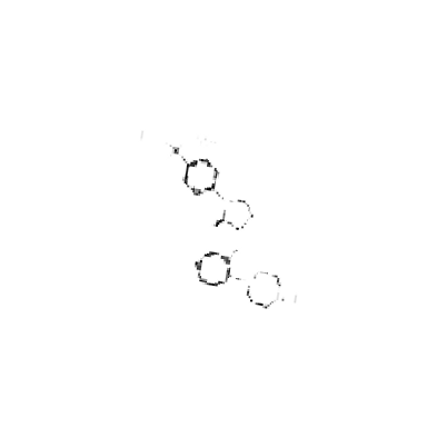 COC(C)(C)c1ccc(N2CC[C@H](Cc3ccccc3N3CCNCC3)C2=O)cc1